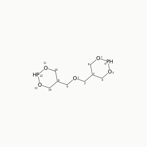 C(OCC1COPOC1)C1COPOC1